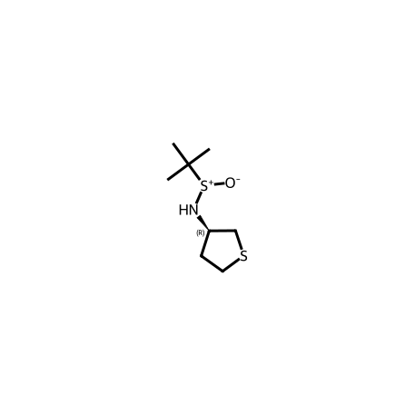 CC(C)(C)[S+]([O-])N[C@@H]1CCSC1